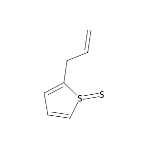 C=CCC1=CC=CS1=S